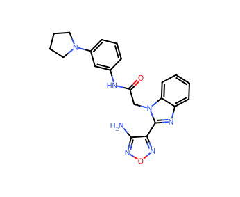 Nc1nonc1-c1nc2ccccc2n1CC(=O)Nc1cccc(N2CCCC2)c1